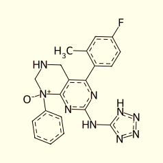 Cc1cc(F)ccc1-c1nc(Nc2nnn[nH]2)nc2c1CNC[N+]2([O-])c1ccccc1